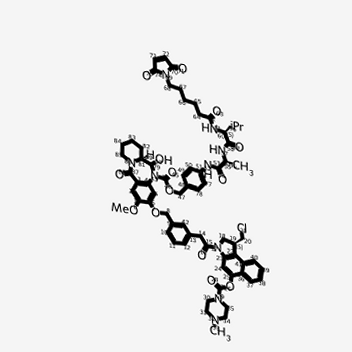 COc1cc2c(cc1OCc1cccc(CC(=O)N3C[C@@H](CCl)c4c3cc(OC(=O)N3CCN(C)CC3)c3ccccc43)c1)N(C(=O)OCc1ccc(NC(=O)[C@H](C)NC(=O)[C@@H](NC(=O)CCCCCN3C(=O)C=CC3=O)C(C)C)cc1)C(O)[C@@H]1CCCCN1C2=O